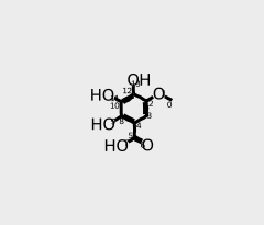 COc1cc(C(=O)O)c(O)c(O)c1O